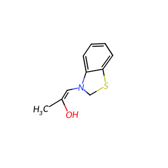 CC(O)=CN1CSc2ccccc21